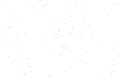 COc1c(F)cc(CSc2nc(-c3cccs3)c(C#N)c(=O)[nH]2)cc1F